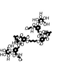 C=C1C[C@H]2C(O)N(C(=O)OCc3ccc(O[C@@H]4O[C@H](CO)[C@@H](O)[C@H](O)[C@H]4O)c(C(=O)NCCOC)c3)c3cc(OCCCCCOc4cc5c(cc4OC)C(=O)N4CC(=C)C[C@H]4C(O)N5C(=O)OCc4ccc(O[C@@H]5O[C@H](CO)[C@H](O)[C@H](O)[C@H]5O)c(C(=O)NCCOC)c4)c(OC)cc3C(=O)N2C1